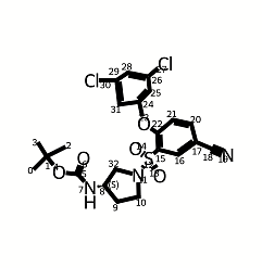 CC(C)(C)OC(=O)N[C@H]1CCN(S(=O)(=O)c2cc(C#N)ccc2Oc2cc(Cl)cc(Cl)c2)C1